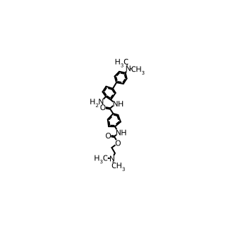 CN(C)CCOC(=O)Nc1ccc(C(=O)Nc2cc(-c3ccc(N(C)C)cc3)ccc2N)cc1